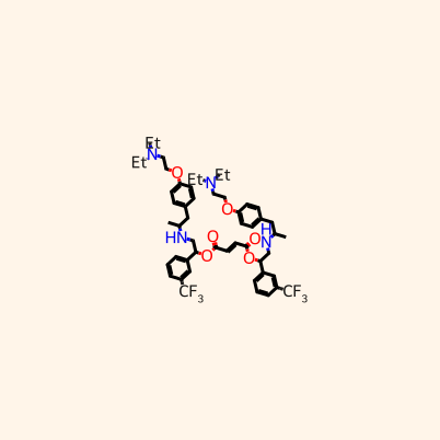 CCN(CC)CCOc1ccc(CC(C)NCC(OC(=O)/C=C/C(=O)OC(CNC(C)Cc2ccc(OCCN(CC)CC)cc2)c2cccc(C(F)(F)F)c2)c2cccc(C(F)(F)F)c2)cc1